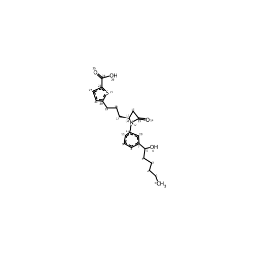 CCCCCC(O)c1cccc(N2C(=O)C[C@@H]2CCCc2ccc(C(=O)O)s2)c1